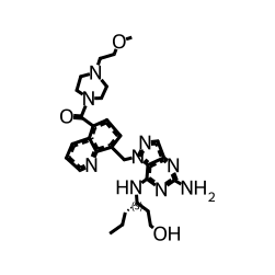 CCC[C@@H](CCO)Nc1nc(N)nc2cnn(Cc3ccc(C(=O)N4CCN(CCOC)CC4)c4cccnc34)c12